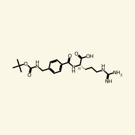 CC(C)(C)OC(=O)NCc1ccc(C(=O)N[C@@H](CCCNC(=N)N)C(=O)O)cc1